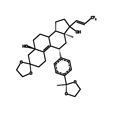 CC1(c2ccc([C@H]3C[C@@]4(C)C(CCC4(O)/C=C/C(F)(F)F)C4CC[C@@]5(O)CC6(CCC5=C43)OCCO6)cc2)OCCO1